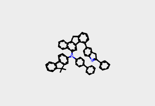 CC1(C)c2ccccc2-c2ccc(N(c3ccc(-c4ccccc4)cc3)c3cc4c(c5ccccc35)Cc3cccc(-c5ccc6c(c5)CC(c5ccccc5)=N6)c3-4)cc21